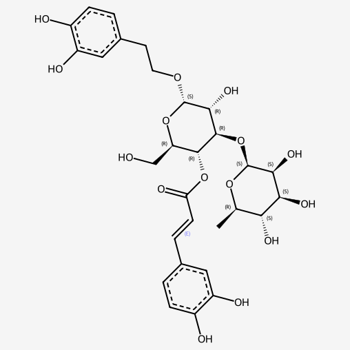 C[C@H]1O[C@@H](O[C@@H]2[C@@H](O)[C@@H](OCCc3ccc(O)c(O)c3)O[C@H](CO)[C@H]2OC(=O)/C=C/c2ccc(O)c(O)c2)[C@@H](O)[C@@H](O)[C@@H]1O